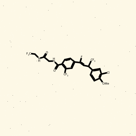 COc1ccc(C(C=C(F)c2ccc(C(=O)NCC(=O)NCC(F)(F)F)c(C(F)(F)F)c2)C(F)(F)F)cc1Cl